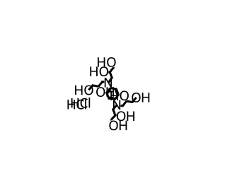 Cl.Cl.OCC(O)CN(CC(O)CO)c1ccc(N(CC(O)CO)CC(O)CO)cc1